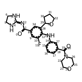 O=C(N=C1NCCN1)c1cc(F)c(Nc2cccc(C(=O)N3CCOCC3)c2)c(C2CCCO2)c1